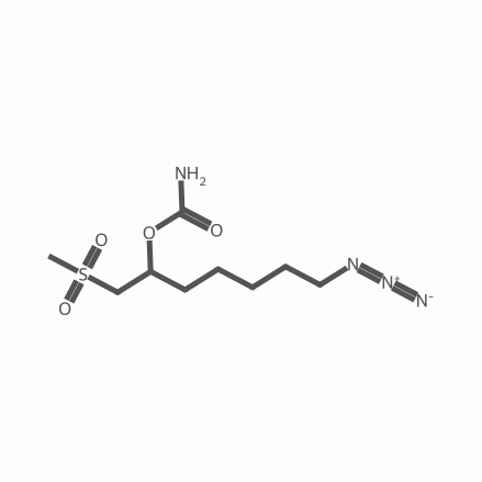 CS(=O)(=O)CC(CCCCCN=[N+]=[N-])OC(N)=O